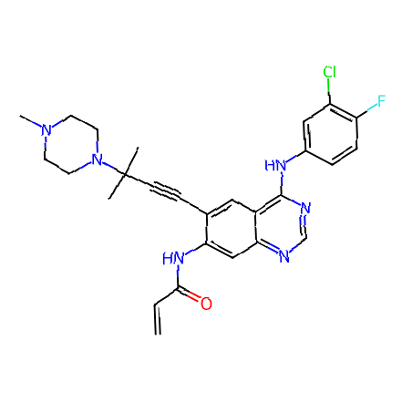 C=CC(=O)Nc1cc2ncnc(Nc3ccc(F)c(Cl)c3)c2cc1C#CC(C)(C)N1CCN(C)CC1